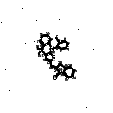 Cc1ccccc1N1c2ccccc2C(C)(C)c2cc(/C=C3\Cc4ccccc4C3=O)sc21